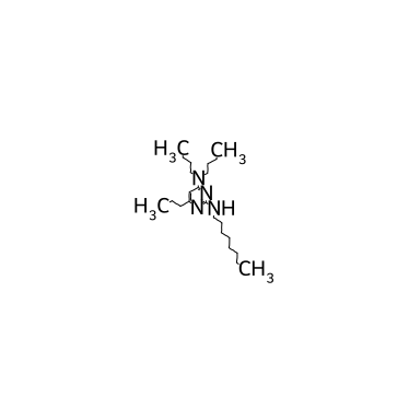 CCCCCCCCNc1nc(CCC)cc(N(CCCC)CCCC)n1